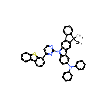 CC1(C)c2ccccc2-c2cc3c(cc21)c1cc(N(c2ccccc2)c2ccccc2)ccc1n3-c1nccc(-c2cccc3c2sc2ccccc23)n1